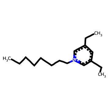 CCCCCCCC[n+]1cc(CC)cc(CC)c1